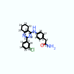 NC(=O)Cc1ccc(Nc2nc(-c3cccc(Cl)c3)nc3c2CCCC3)cc1